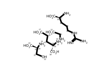 N=C(N)NCCC[C@H](N)C(=O)O.NCC(=O)O.N[C@@H](CCC(=O)O)C(=O)O.N[C@@H](CO)C(=O)O